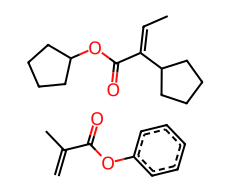 C=C(C)C(=O)Oc1ccccc1.CC=C(C(=O)OC1CCCC1)C1CCCC1